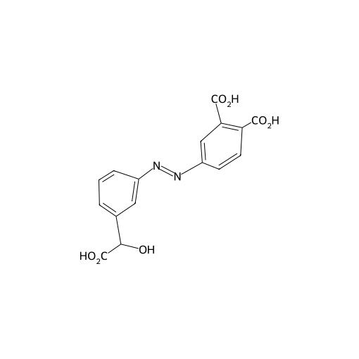 O=C(O)c1ccc(N=Nc2cccc(C(O)C(=O)O)c2)cc1C(=O)O